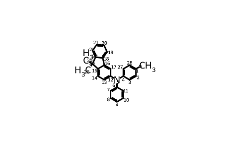 Cc1ccc(N(c2ccccc2)c2ccc3c(c2)-c2ccccc2C3(C)C)cc1